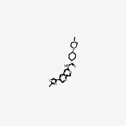 Cc1nc(-c2cnc3cnc(NC(=O)[C@H]4CC[C@H](N5CCN(C)CC5)CC4)cc3c2)co1